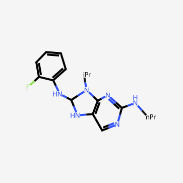 CCCNc1ncc2c(n1)N(C(C)C)C(Nc1ccccc1F)N2